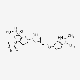 CNS(=O)(=O)c1cc(C(O)CNCCOc2ccc3c(C)c(C)[nH]c3c2)ccc1OC(=O)C(F)(F)F